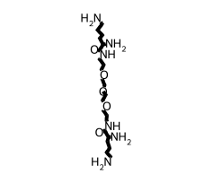 NCCCCC(N)C(=O)NCCCOCCOCCOCCCNC(=O)C(N)CCCCN